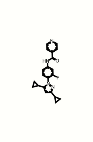 O=C(Nc1ccc(-n2nc(C3CC3)cc2C2CC2)c(F)c1)c1ccncc1